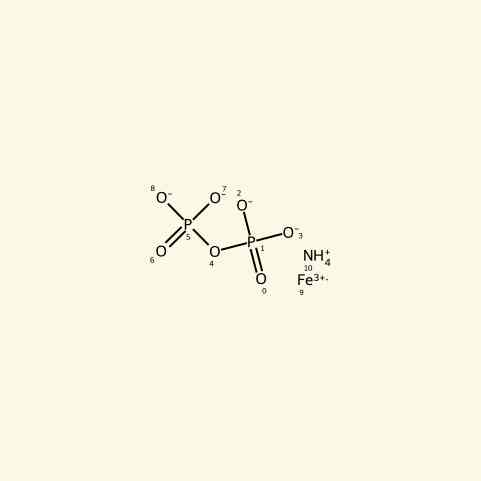 O=P([O-])([O-])OP(=O)([O-])[O-].[Fe+3].[NH4+]